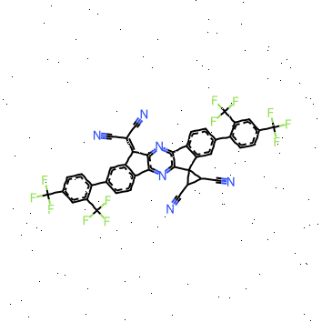 N#CC(C#N)=C1c2cc(-c3ccc(C(F)(F)F)cc3C(F)(F)F)ccc2-c2nc3c(nc21)-c1ccc(-c2ccc(C(F)(F)F)cc2C(F)(F)F)cc1C31C(C#N)C1C#N